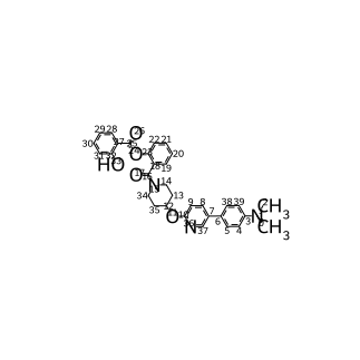 CN(C)c1ccc(-c2ccc(OC3CCN(C(=O)c4ccccc4OC(=O)c4ccccc4O)CC3)nc2)cc1